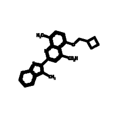 Cc1c(-c2cc(C(=O)O)c3c(OCC4CCC4)ccc(C)c3n2)sc2ccccc12